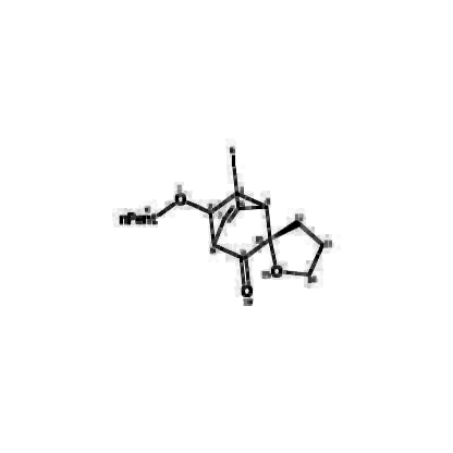 CCCCCOC1CC2C(I)=CC1C(=O)[C@]21CCCO1